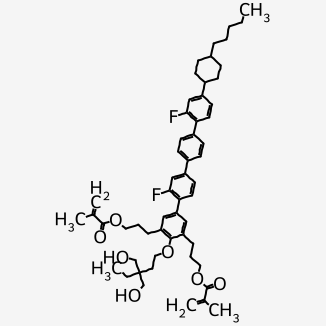 C=C(C)C(=O)OCCCc1cc(-c2ccc(-c3ccc(-c4ccc(C5CCC(CCCCC)CC5)cc4F)cc3)cc2F)cc(CCCOC(=O)C(=C)C)c1OCCC(CC)(CO)CO